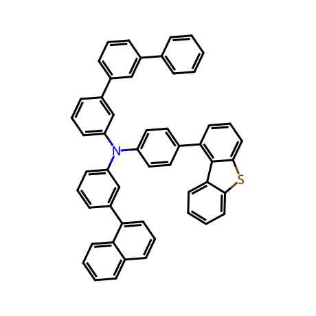 c1ccc(-c2cccc(-c3cccc(N(c4ccc(-c5cccc6sc7ccccc7c56)cc4)c4cccc(-c5cccc6ccccc56)c4)c3)c2)cc1